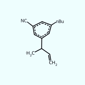 [CH2]C(C=C)c1cc(C#N)cc(CCCC)c1